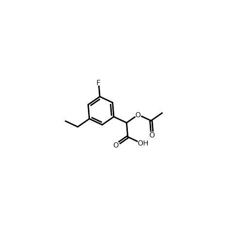 CCc1cc(F)cc(C(OC(C)=O)C(=O)O)c1